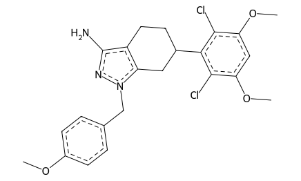 COc1ccc(Cn2nc(N)c3c2CC(c2c(Cl)c(OC)cc(OC)c2Cl)CC3)cc1